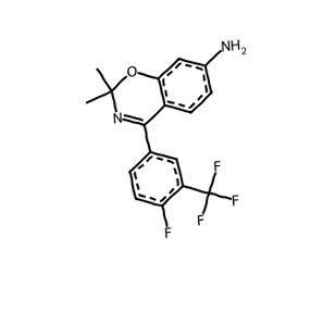 CC1(C)N=C(c2ccc(F)c(C(F)(F)F)c2)c2ccc(N)cc2O1